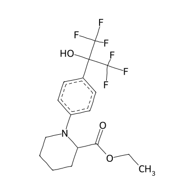 CCOC(=O)C1CCCCN1c1ccc(C(O)(C(F)(F)F)C(F)(F)F)cc1